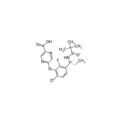 CC[C@@H](N[S+]([O-])C(C)(C)C)c1ccc(Cl)c(Oc2cnc(C(=O)O)cn2)c1F